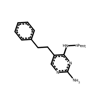 CCCCCNc1nc(N)ncc1CCc1ccccc1